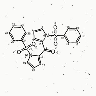 O=C(c1cccn1S(=O)(=O)c1ccccc1)c1cccn1S(=O)(=O)c1ccccc1